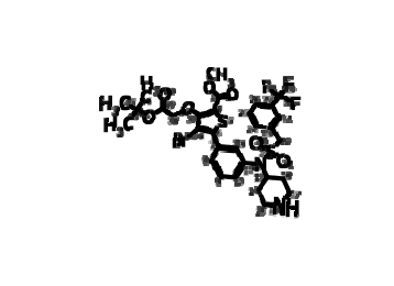 COC(=O)c1sc(-c2cccc(N(C3CCNCC3)S(=O)(=O)Cc3cccc(C(F)(F)F)c3)c2)c(Br)c1OCC(=O)OC(C)(C)C